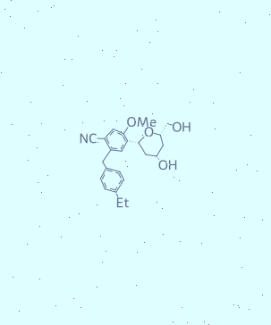 CCc1ccc(Cc2cc([C@H]3C[C@@H](O)C[C@@H](CO)O3)c(OC)cc2C#N)cc1